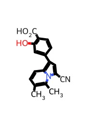 Cc1ccc2c(-c3ccc(C(=O)O)c(O)c3)cc(C#N)n2c1C